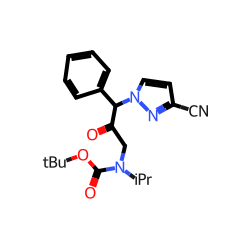 CC(C)N(CC(=O)C(c1ccccc1)n1ccc(C#N)n1)C(=O)OC(C)(C)C